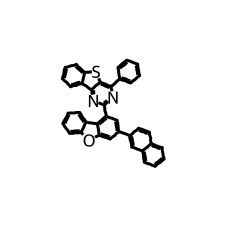 c1ccc(-c2nc(-c3cc(-c4ccc5ccccc5c4)cc4oc5ccccc5c34)nc3c2sc2ccccc23)cc1